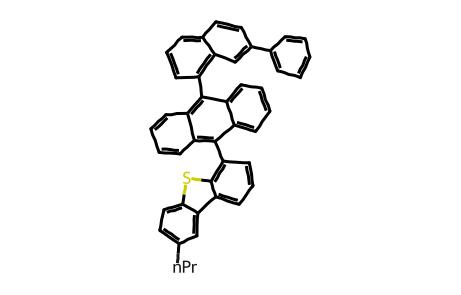 CCCc1ccc2sc3c(-c4c5ccccc5c(-c5cccc6ccc(-c7ccccc7)cc56)c5ccccc45)cccc3c2c1